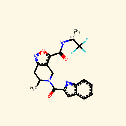 CC1Cc2noc(C(=O)N[C@H](C)C(F)(F)F)c2CN1C(=O)c1cc2ccccc2[nH]1